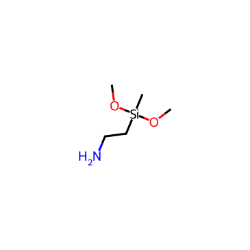 CO[Si](C)(CCN)OC